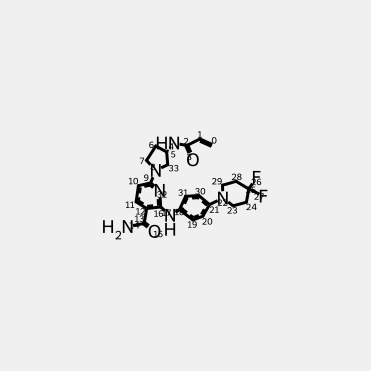 C=CC(=O)N[C@H]1CCN(c2ccc(C(N)=O)c(Nc3ccc(N4CCC(F)(F)CC4)cc3)n2)C1